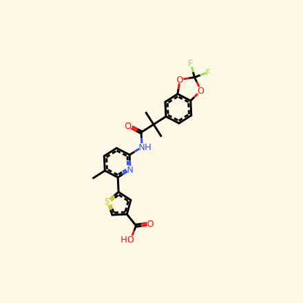 Cc1ccc(NC(=O)C(C)(C)c2ccc3c(c2)OC(F)(F)O3)nc1-c1cc(C(=O)O)cs1